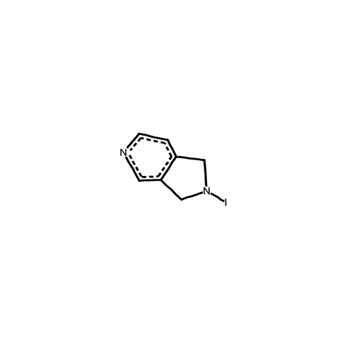 IN1Cc2ccncc2C1